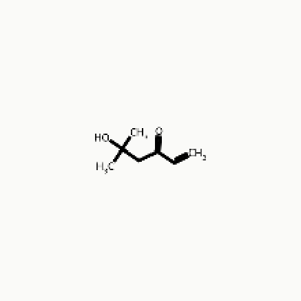 C=CC(=O)CC(C)(C)O